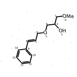 COCC(O)COCC=Cc1ccccc1